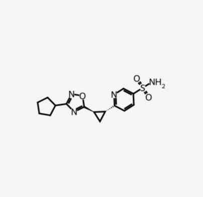 NS(=O)(=O)c1ccc([C@@H]2C[C@H]2c2nc(C3CCCC3)no2)nc1